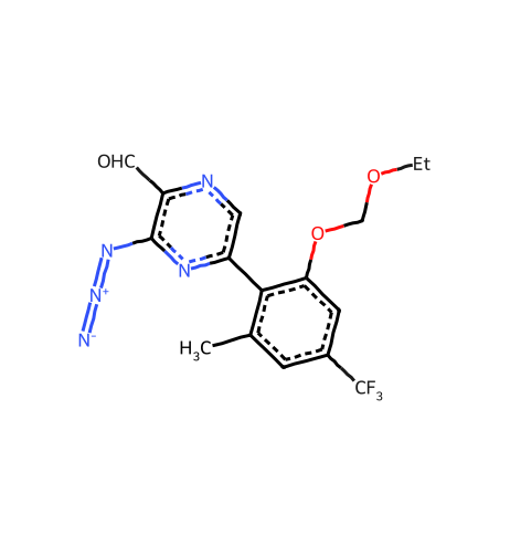 CCOCOc1cc(C(F)(F)F)cc(C)c1-c1cnc(C=O)c(N=[N+]=[N-])n1